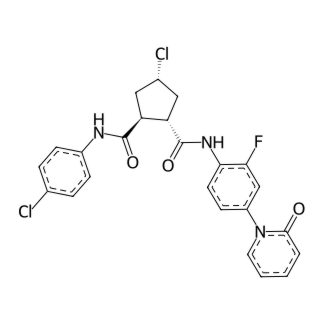 O=C(Nc1ccc(Cl)cc1)[C@H]1C[C@H](Cl)C[C@@H]1C(=O)Nc1ccc(-n2ccccc2=O)cc1F